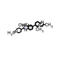 CN/C(=N\c1ccc(-c2ccc3nc(C)cn3c2C)cc1C=O)C1CCN(C)CC1